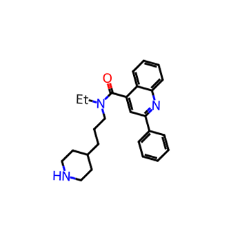 CCN(CCCC1CCNCC1)C(=O)c1cc(-c2ccccc2)nc2ccccc12